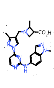 Cc1nn(-c2ccnc(Nc3ccc4c(cnn4C)c3)n2)cc1CN1CC(C(=O)O)C1C